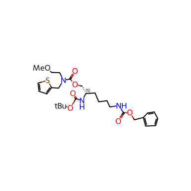 COCCN(Cc1cccs1)C(=O)OC[C@H](CCCCNC(=O)OCc1ccccc1)NC(=O)OC(C)(C)C